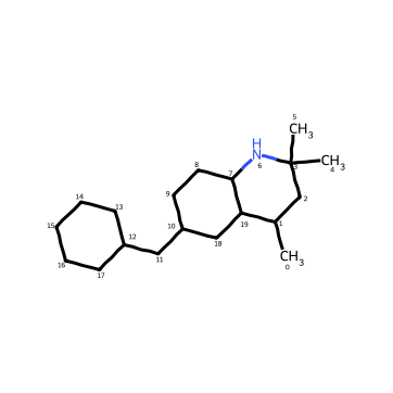 CC1CC(C)(C)NC2CCC(CC3CCCCC3)CC12